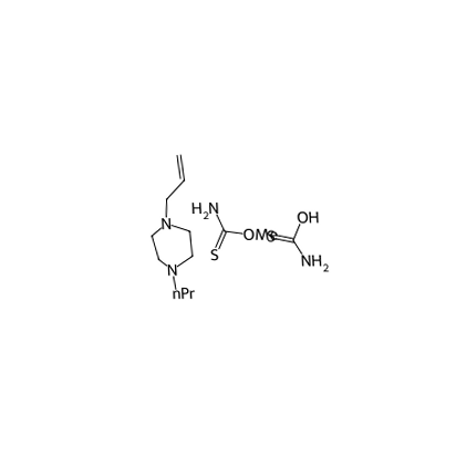 C=CCN1CCN(CCC)CC1.COC(N)=S.NC(O)=S